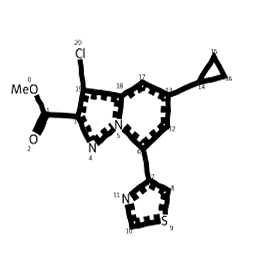 COC(=O)c1nn2c(-c3cscn3)cc(C3CC3)cc2c1Cl